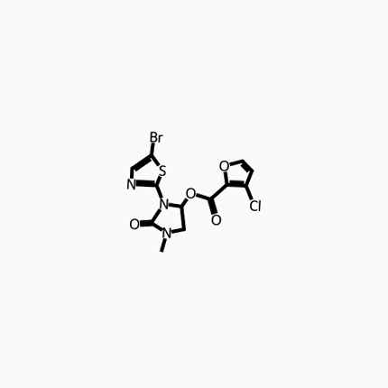 CN1CC(OC(=O)c2occc2Cl)N(c2ncc(Br)s2)C1=O